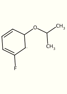 CC(C)OC1[CH]C(F)=CC=C1